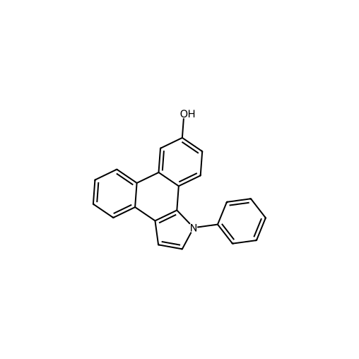 Oc1ccc2c(c1)c1ccccc1c1ccn(-c3ccccc3)c12